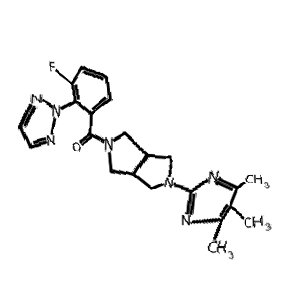 Cc1nc(N2CC3CN(C(=O)c4cccc(F)c4-n4nccn4)CC3C2)nc(C)c1C